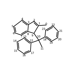 CC1=Cc2ccccc2C1C(C)(c1ccccc1)c1ccccc1